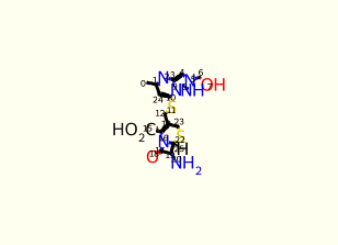 CC1=NC2=CN(CO)NN2C(SCC2=C(C(=O)O)N3C(=O)C(N)[C@H]3SC2)=C1